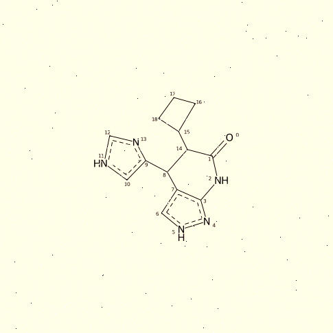 O=C1Nc2n[nH]cc2C(c2c[nH]cn2)C1C1CCC1